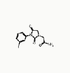 NC(=O)CN1CC(=O)N(c2cccc(I)c2)C1=O